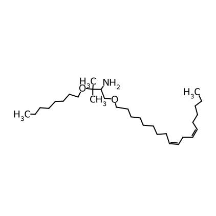 CCCCC/C=C\C/C=C\CCCCCCCCOCC(N)C(C)(C)OCCCCCCCC